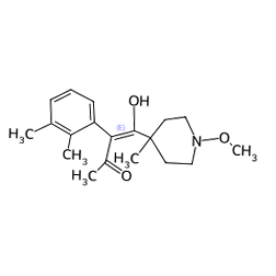 CON1CCC(C)(/C(O)=C(\C(C)=O)c2cccc(C)c2C)CC1